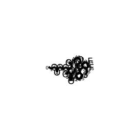 CCOC(=O)OCOc1c2n(cc(P(C)(C)=O)c1=O)N([C@@H]1c3ccccc3SCc3c1ccc(F)c3F)[C@@H]1COCCN1C2=O